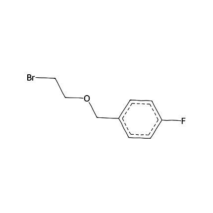 Fc1ccc(COCCBr)cc1